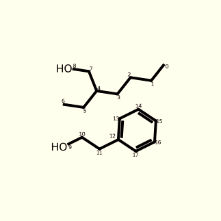 CCCCC(CC)CO.OCCc1ccccc1